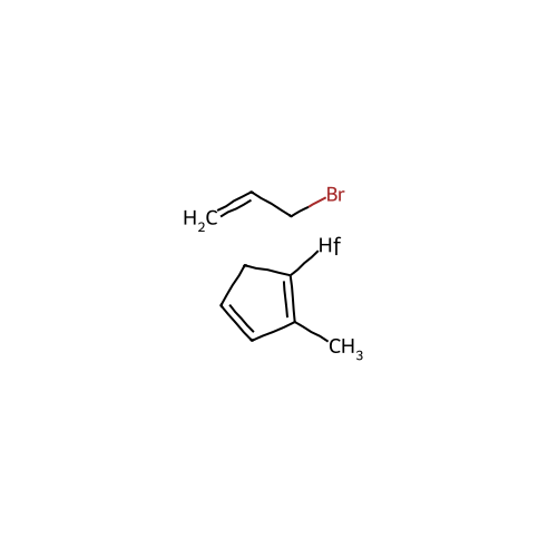 C=CCBr.CC1=[C]([Hf])CC=C1